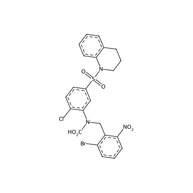 O=C(O)N(Cc1c(Br)cccc1[N+](=O)[O-])c1cc(S(=O)(=O)N2CCCc3ccccc32)ccc1Cl